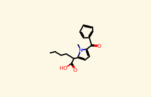 CCCCC(C(=O)O)c1ccc(C(=O)c2ccccc2)n1C